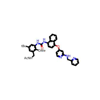 COc1c(CNC(C)=O)cc(C(C)(C)C)cc1NC(=O)Nc1ccc(Oc2ccnc(NCc3ccccn3)c2)c2ccccc12